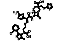 Cc1onc(-c2ccccc2Cl)c1N(CCON=C(C(=O)NC1C(=O)N2CC(CSc3nncs3)(C(=O)O)CS[C@H]12)c1csc(N)n1)C(=O)O